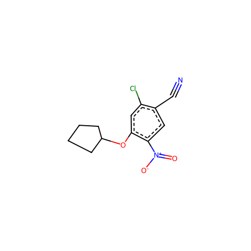 N#Cc1cc([N+](=O)[O-])c(OC2CCCC2)cc1Cl